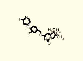 CN1c2cc(OCc3ccc(Oc4ccnc(F)c4)c(F)c3)nc(=O)n2CC1(C)C